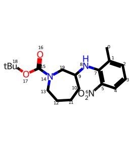 Cc1cccc([N+](=O)[O-])c1NC1CCCCN(C(=O)OC(C)(C)C)C1